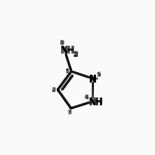 NC1=CCN[N]1